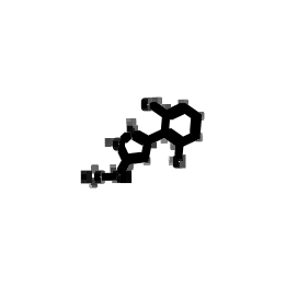 CNc1cc(-c2c(Cl)cccc2Cl)no1